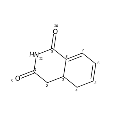 O=C1CC2CC=CC=C2C(=O)N1